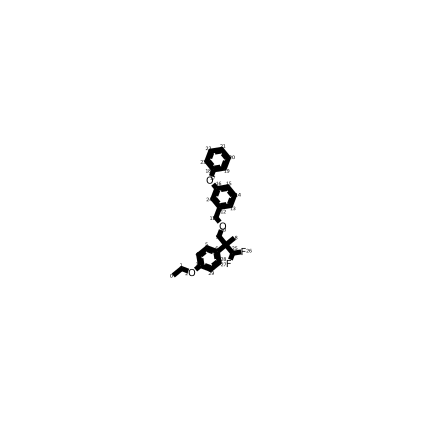 CCOc1ccc(C(C)(COCc2cccc(Oc3ccccc3)c2)C(F)F)cc1